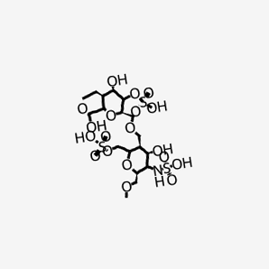 CC[C@@H]1C(C(=O)O)O[C@H](COC[C@@H]2C(COS(=O)(=O)O)O[C@H](COC)C(NS(=O)(=O)O)[C@@H]2O)C(OS(=O)(=O)O)[C@@H]1O